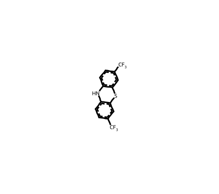 FC(F)(F)c1ccc2c(c1)Sc1cc(C(F)(F)F)ccc1N2